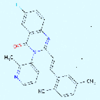 Cc1ccc(C#N)c(C=Cc2nc3ccc(F)cc3c(=O)n2-c2cccnc2C)c1